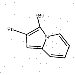 CCc1cc2ccccn2c1C(C)(C)C